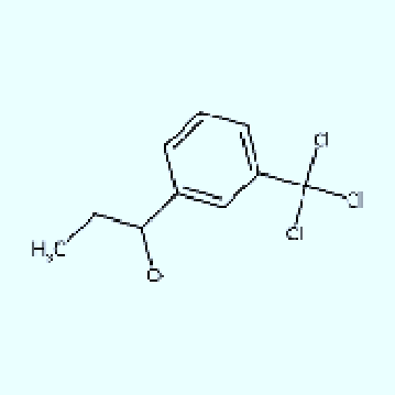 CCC([O])c1cccc(C(Cl)(Cl)Cl)c1